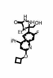 CCN1C(=O)NNC1(CO)c1cc2c(C(C)C)cc(OC3CCC3)nc2cc1F